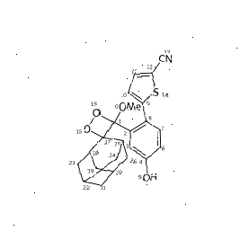 COC1(c2cc(O)ccc2-c2ccc(C#N)s2)OOC12C1CC3CC(C1)CC2C3